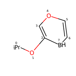 CC(C)OC1=COC=CB1